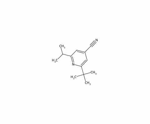 CC(C)c1cc(C#N)cc(C(C)(C)C)n1